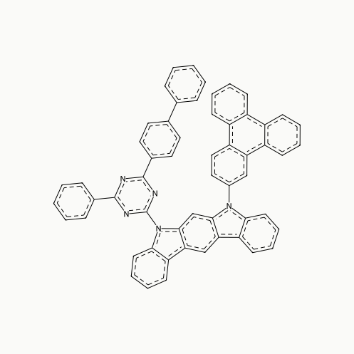 c1ccc(-c2ccc(-c3nc(-c4ccccc4)nc(-n4c5ccccc5c5cc6c7ccccc7n(-c7ccc8c9ccccc9c9ccccc9c8c7)c6cc54)n3)cc2)cc1